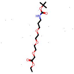 CCOC(=O)COCCOCCOCCCNC(=O)OC(C)(C)C